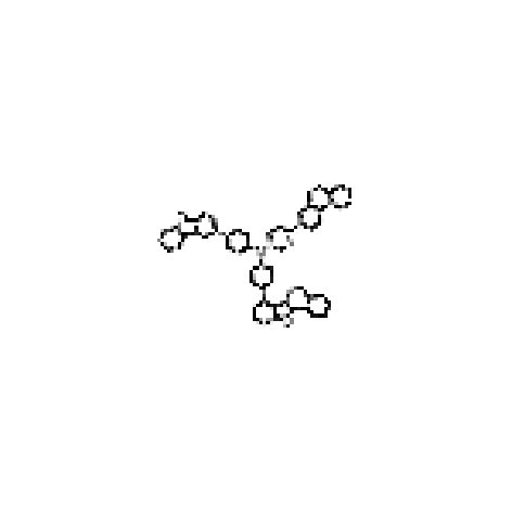 c1ccc2c(c1)ccc1cc(-c3ccc(N(c4ccc(-c5ccc6oc7ccccc7c6c5)cc4)c4ccc(-c5cccc6oc7c8ccccc8ccc7c56)cc4)cc3)ccc12